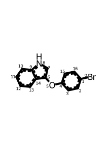 Brc1ccc(Oc2c[nH]c3ccccc23)cc1